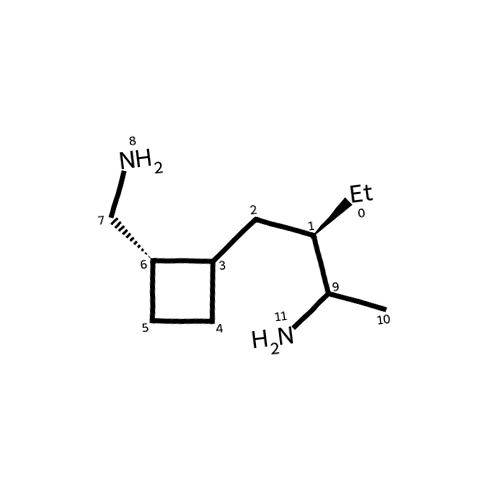 CC[C@H](CC1CC[C@@H]1CN)C(C)N